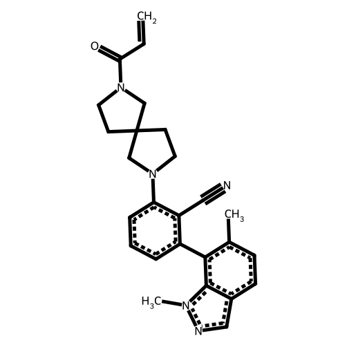 C=CC(=O)N1CCC2(CCN(c3cccc(-c4c(C)ccc5cnn(C)c45)c3C#N)C2)C1